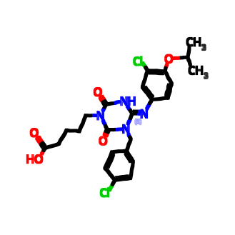 CC(C)Oc1ccc(/N=c2\[nH]c(=O)n(CCCCC(=O)O)c(=O)n2Cc2ccc(Cl)cc2)cc1Cl